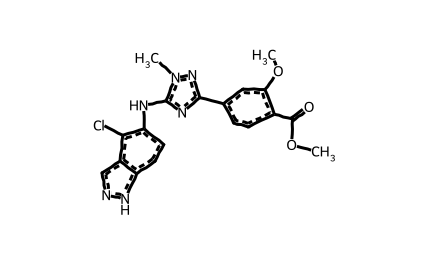 COC(=O)c1ccc(-c2nc(Nc3ccc4[nH]ncc4c3Cl)n(C)n2)cc1OC